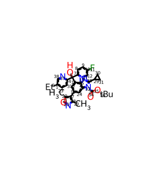 CCc1ccc(C(O)(c2ccc(F)cn2)c2cc(-c3c(C)noc3C)cc3c2nc(C2CC2)n3C(=O)OC(C)(C)C)nc1